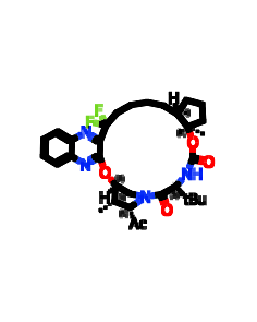 CC(=O)[C@@H]1[C@H](C)[C@@H]2CN1C(=O)[C@H](C(C)(C)C)NC(=O)O[C@]1(C)CCC[C@H]1CCCCC(F)(F)c1nc3ccccc3nc1O2